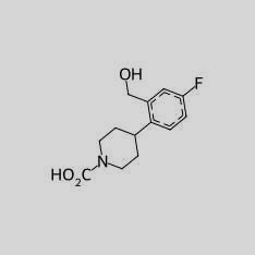 O=C(O)N1CCC(c2ccc(F)cc2CO)CC1